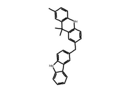 Cc1ccc2c(c1)C(C)(C)c1cc(Cc3ccc4[nH]c5ccccc5c4c3)ccc1N2